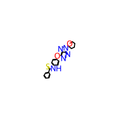 S=C(Nc1ccc(Oc2ncnc3c2ncn3C2CCCCO2)cc1)c1ccccc1